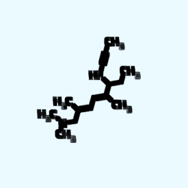 CC#CPC(CC)/C(C)=C/C=C(\C)CN(C)C